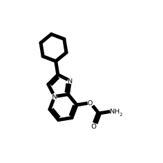 NC(=O)Oc1cccn2cc(C3CCCCC3)nc12